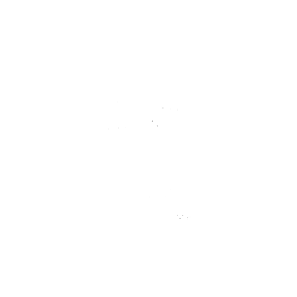 CCOC(=O)CC(=O)N(CC(=O)c1ccc(OC)cc1)c1ccccc1